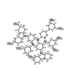 CC(C)(C)c1cc(-c2ccc3c(c2)N(c2cc(C(C)(C)C)cc(C(C)(C)C)c2)c2cc(-n4c5ccccc5c5ccccc54)cc4c2B3c2ccc(-n3c5ccc(C(C)(C)C)cc5c5cc(C(C)(C)C)ccc53)cc2N4c2cc(C(C)(C)C)cc(C(C)(C)C)c2)cc(C(C)(C)C)c1